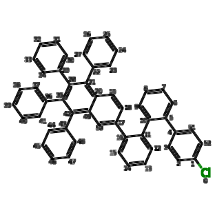 Clc1ccc(-c2ccccc2-c2ccccc2-c2ccc3c(-c4ccccc4)c(-c4ccccc4)c(-c4ccccc4)c(-c4ccccc4)c3c2)cc1